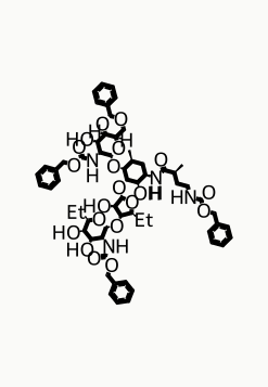 CC[C@@H]1O[C@H](O[C@H]2[C@@H](O)[C@H](O[C@@H]3[C@@H](O)[C@H](NC(=O)[C@@H](C)CCNC(=O)OCc4ccccc4)C[C@H](C)[C@H]3O[C@H]3O[C@@H]4COC(c5ccccc5)O[C@H]4[C@H](O)[C@H]3NC(=O)OCc3ccccc3)O[C@@H]2CC)[C@H](NC(=O)OCc2ccccc2)[C@@H](O)[C@@H]1O